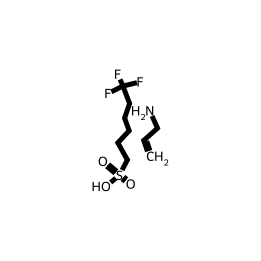 C=CCN.O=S(=O)(O)CCCCCC(F)(F)F